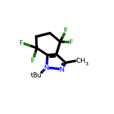 Cc1nn(C(C)(C)C)c2c1C(F)(F)CCC2(F)F